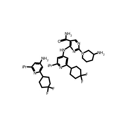 CC(C)c1cc(N)cc(C2CCC(F)(F)CC2)n1.CC(C)c1cc(Nc2nc(N3CCCC(N)C3)ncc2C(N)=O)cc(C2CCC(F)(F)CC2)n1